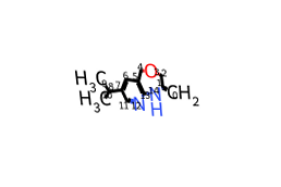 C=C1COCc2cc(C(C)C)cnc2N1